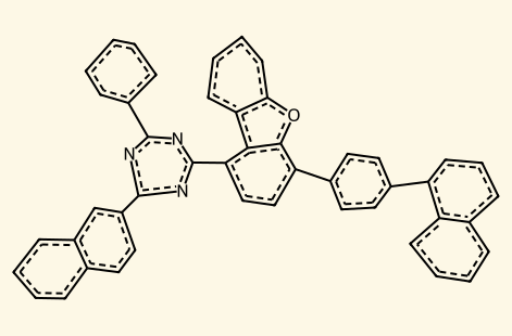 c1ccc(-c2nc(-c3ccc4ccccc4c3)nc(-c3ccc(-c4ccc(-c5cccc6ccccc56)cc4)c4oc5ccccc5c34)n2)cc1